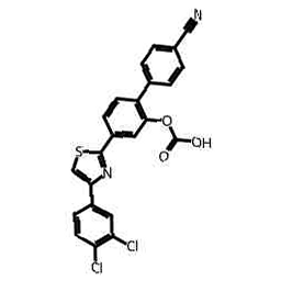 N#Cc1ccc(-c2ccc(-c3nc(-c4ccc(Cl)c(Cl)c4)cs3)cc2OC(=O)O)cc1